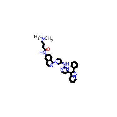 CN(C)C/C=C/C(=O)Nc1ccc2c(N3CCC(Nc4nccc(-c5c(-c6ccccc6)nn6ccccc56)n4)C3)nccc2c1